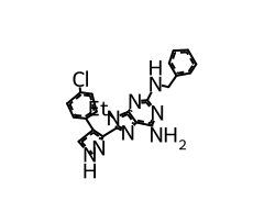 CCn1c(-c2n[nH]cc2-c2ccc(Cl)cc2)nc2c(N)nc(NCc3ccccc3)nc21